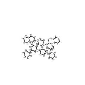 CCC1C(c2ccccc2)=NC(c2ccccc2)=NC1c1ccc(-c2ccc3ccccc3c2-c2cc(-c3ccccc3)nc(-c3ccccc3)c2)cc1